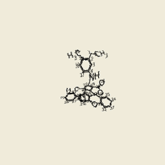 CCc1cc(Nc2cc(C)c(Nc3ccccc3)c3c2C(=O)OC32c3ccccc3Oc3ccccc32)ccc1C